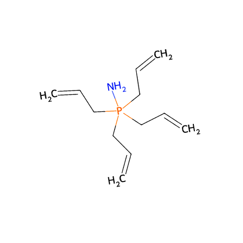 C=CCP(N)(CC=C)(CC=C)CC=C